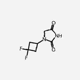 O=C1CN(C2CC(F)(F)C2)C(=O)N1